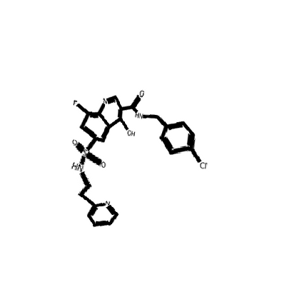 O=C(NCc1ccc(Cl)cc1)c1cnc2c(F)cc(S(=O)(=O)NCCc3ccccn3)cc2c1O